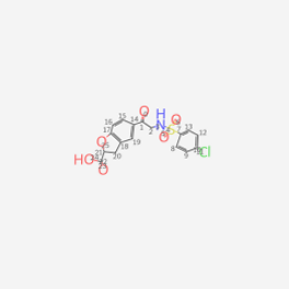 O=C(CNS(=O)(=O)c1ccc(Cl)cc1)c1ccc2c(c1)CC(C(=O)O)O2